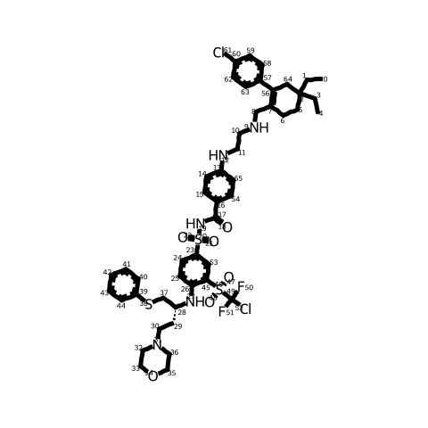 CCC1(CC)CCC(CNCCNc2ccc(C(=O)NS(=O)(=O)c3ccc(N[C@H](CCN4CCOCC4)CSc4ccccc4)c(S(=O)(=O)C(F)(F)Cl)c3)cc2)=C(c2ccc(Cl)cc2)C1